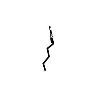 CCCCC=BF